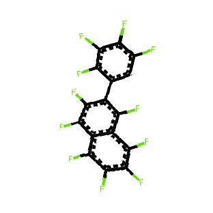 Fc1[c]c(-c2c(F)c(F)c3c(F)c(F)c(F)c(F)c3c2F)c(F)c(F)c1F